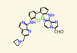 O=Cc1cnc2c(Nc3cccc(-c4cccc(Nc5nccc6cc(CN7CCCC7)cnc56)c4Cl)c3Cl)nccn12